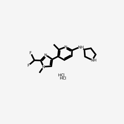 Cc1nc(N[C@H]2CCNC2)ccc1-c1cn(C)c(C(F)F)n1.Cl.Cl